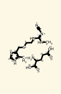 CN/C(=N/C#N)NCCSCc1nc[nH]c1C.NC(CCC(=O)O)C(=O)O